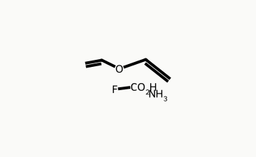 C=COC=C.N.O=C(O)F